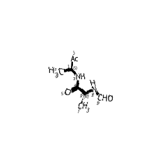 CC(=O)[C@H](C)NC(=O)[C@@H](C)NC=O